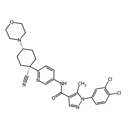 Cc1c(C(=O)Nc2ccc([C@]3(C#N)CC[C@@H](N4CCOCC4)CC3)nc2)cnn1-c1ccc(Cl)c(Cl)c1